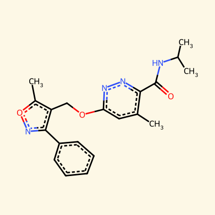 Cc1cc(OCc2c(-c3ccccc3)noc2C)nnc1C(=O)NC(C)C